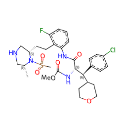 COC(=O)N[C@H](C(=O)Nc1cccc(F)c1CC[C@H]1CNC[C@@H](C)N1S(C)(=O)=O)[C@@H](c1ccc(Cl)cc1)C1CCOCC1